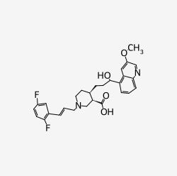 COc1cnc2cccc(C(O)CC[C@@H]3CCN(CC=Cc4cc(F)ccc4F)C[C@@H]3C(=O)O)c2c1